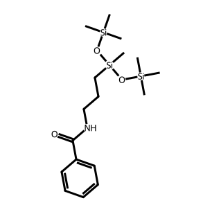 C[Si](C)(C)O[Si](C)(CCCNC(=O)c1ccccc1)O[Si](C)(C)C